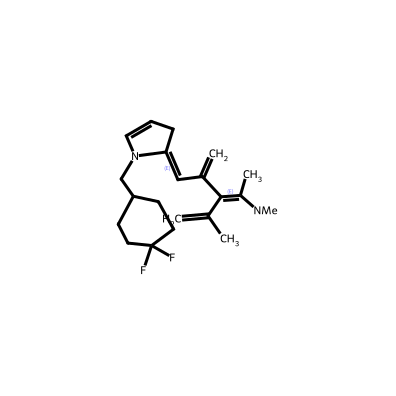 C=C(C)/C(C(=C)/C=C1\CC=CN1CC1CCC(F)(F)CC1)=C(/C)NC